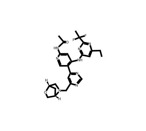 CCc1cc(Nc2cc(NC(C)=O)ncc2-c2cc(CN3C[C@@H]4C[C@H]3CO4)ncn2)nc(C(C)(F)F)n1